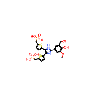 COc1cc(-c2nc(-c3ccc(CP(=O)(O)O)s3)c(-c3ccc(CP(=O)(O)O)s3)[nH]2)cc(CO)c1O